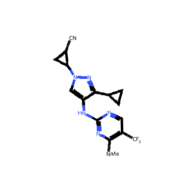 CNc1nc(Nc2cn(C3CC3C#N)nc2C2CC2)ncc1C(F)(F)F